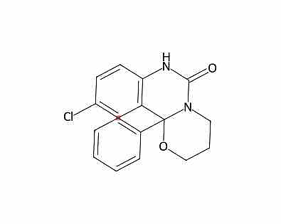 O=C1Nc2ccc(Cl)cc2C2(c3ccccc3)OCCCN12